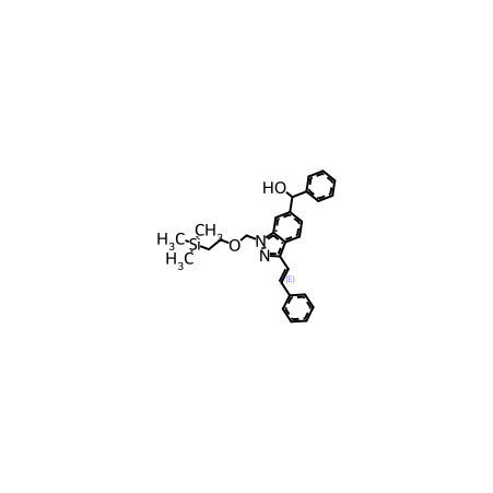 C[Si](C)(C)CCOCn1nc(/C=C/c2ccccc2)c2ccc(C(O)c3ccccc3)cc21